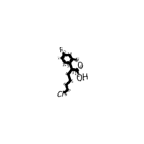 O=C(O)C(CCCCCl)c1ccc(F)cc1F